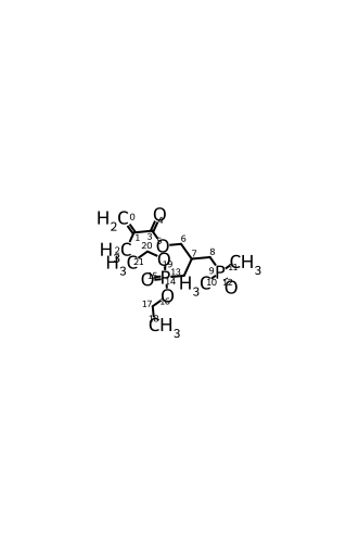 C=C(C)C(=O)OCC(CP(C)(C)=O)CP(=O)(OCC)OCC